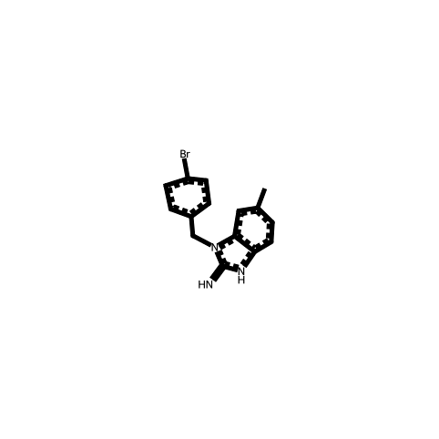 Cc1ccc2[nH]c(=N)n(Cc3ccc(Br)cc3)c2c1